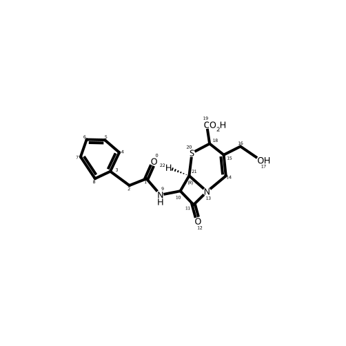 O=C(Cc1ccccc1)NC1C(=O)N2C=C(CO)C(C(=O)O)S[C@H]12